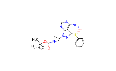 CC(C)(C)OC(=O)N1CC(n2nc([S+]([O-])c3ccccc3)c3c(N)ncnc32)C1